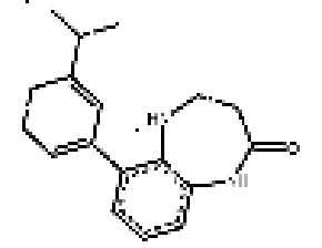 CC(C)C1=CC(c2cccc3c2NCCC(=O)N3)=CCC1